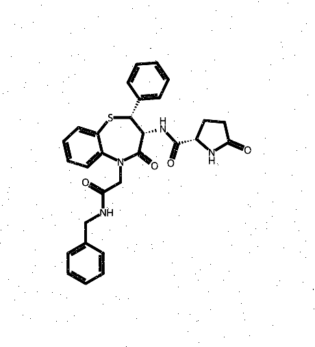 O=C(CN1C(=O)[C@@H](NC(=O)[C@@H]2CCC(=O)N2)[C@@H](c2ccccc2)Sc2ccccc21)NCc1ccccc1